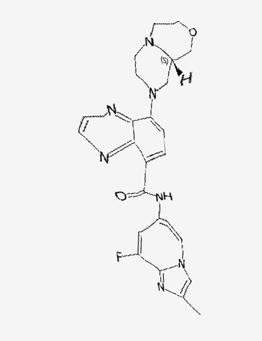 Cc1cn2cc(NC(=O)c3ccc(N4CCN5CCOC[C@@H]5C4)c4nccnc34)cc(F)c2n1